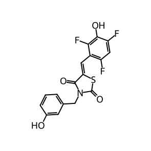 O=C1S/C(=C\c2c(F)cc(F)c(O)c2F)C(=O)N1Cc1cccc(O)c1